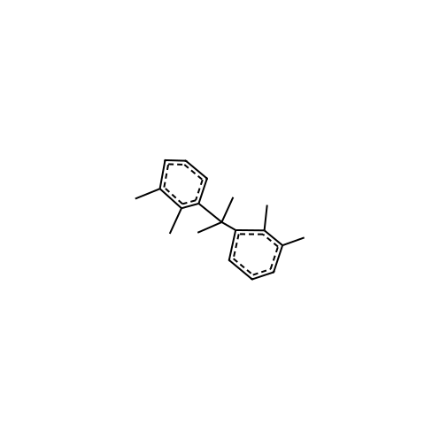 Cc1cccc(C(C)(C)c2cccc(C)c2C)c1C